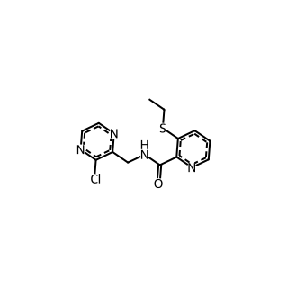 CCSc1cccnc1C(=O)NCc1nccnc1Cl